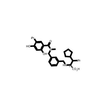 CC(C)c1cc(C(=O)N(C)Cc2cccc(CN[C@H](C(=O)O)C(C(C)C)C3CCCC3)c2)c(O)cc1O